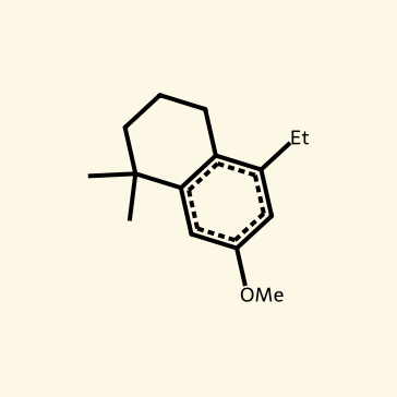 CCc1cc(OC)cc2c1CCCC2(C)C